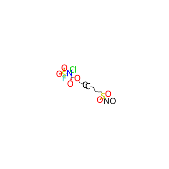 O=NS(=O)(=O)CCCCCCOC(=O)N(Cl)S(=O)(=O)F